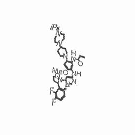 C=CC(=O)Nc1cc(Nc2cc(N3OCCC3c3c(F)ccc(F)c3F)ncn2)c(OC)cc1N1CCC(N2CCN(C(C)C)CC2)CC1